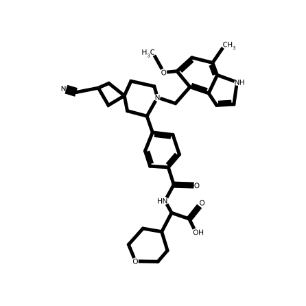 COc1cc(C)c2[nH]ccc2c1CN1CCC2(CC(C#N)C2)CC1c1ccc(C(=O)NC(C(=O)O)C2CCOCC2)cc1